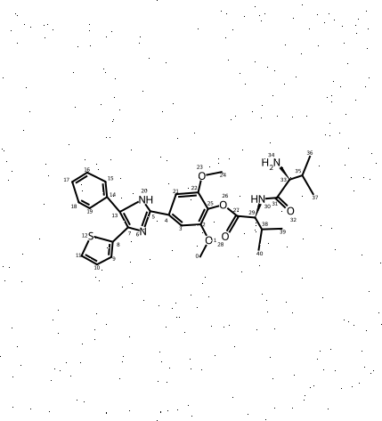 COc1cc(-c2nc(-c3cccs3)c(-c3ccccc3)[nH]2)cc(OC)c1OC(=O)[C@@H](NC(=O)[C@@H](N)C(C)C)C(C)C